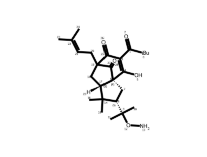 CCC(C)C(=O)C1=C(O)[C@@]23C[C@H](C(C)(C)ON)C(C)(C)[C@@H]2CC(CC=C(C)C)(C1=O)C3=O